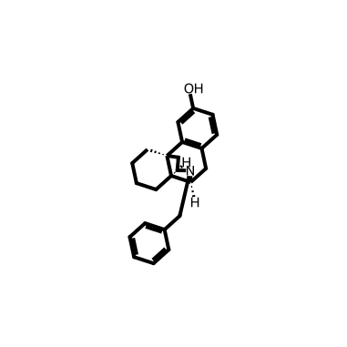 Oc1ccc2c(c1)[C@]13CCCC[C@@H]1[C@H](C2)N(Cc1ccccc1)CC3